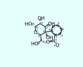 O=[N+]([O-])c1ccccc1[C@@]1(O)[C@H](O)[C@@H](O)[C@@H](O)O[C@@H]1CO